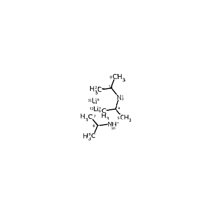 CC(C)[N-]C(C)C.CC(C)[NH-].[Li+].[Li+]